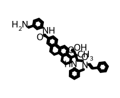 CC(C(=O)O)(C1=c2ccc3c(c2CCC1)CC=c1cc(C(=O)Nc2cccc(CN)c2)ccc1=3)C1Nc2ccccc2CN(C=Cc2ccccc2)C1=O